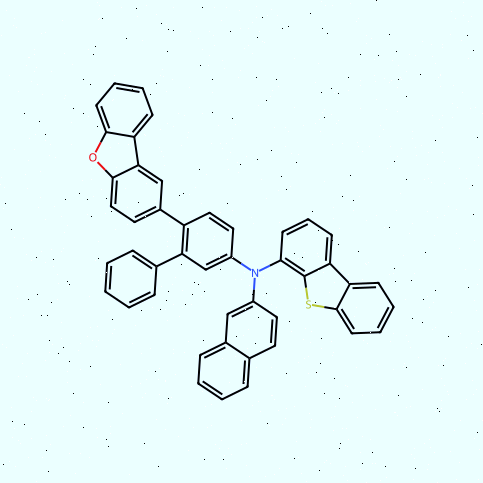 c1ccc(-c2cc(N(c3ccc4ccccc4c3)c3cccc4c3sc3ccccc34)ccc2-c2ccc3oc4ccccc4c3c2)cc1